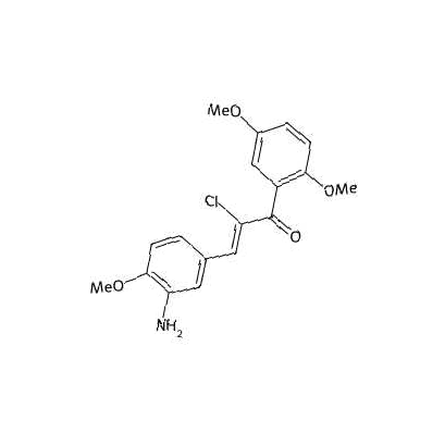 COc1ccc(OC)c(C(=O)C(Cl)=Cc2ccc(OC)c(N)c2)c1